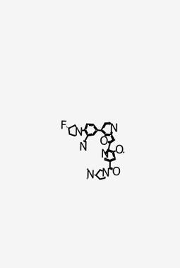 COc1cc(C(=O)N2CC[C@H](N(C)C)C2)cnc1-c1cc2nccc(-c3ccc(N4CC[C@H](F)C4)c(C#N)c3)c2o1